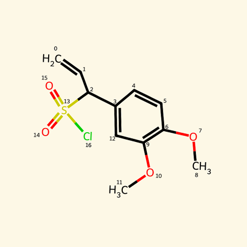 C=CC(c1ccc(OC)c(OC)c1)S(=O)(=O)Cl